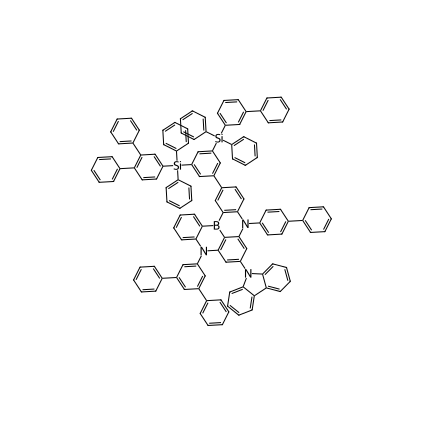 c1ccc(-c2ccc(N3c4ccc(-c5cc([Si](c6ccccc6)(c6ccccc6)c6cccc(-c7ccccc7)c6)cc([Si](c6ccccc6)(c6ccccc6)c6ccc(-c7ccccc7)c(-c7ccccc7)c6)c5)cc4B4c5ccccc5N(c5cc(-c6ccccc6)cc(-c6ccccc6)c5)c5cc(-n6c7ccccc7c7ccccc76)cc3c54)cc2)cc1